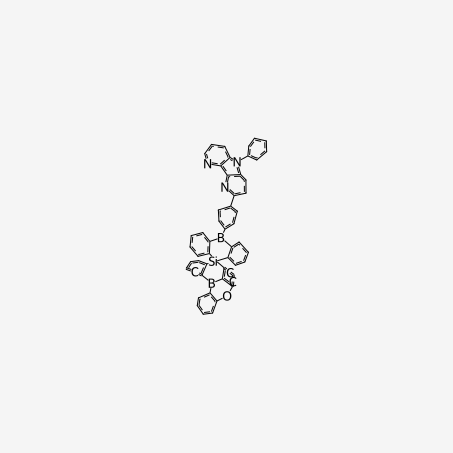 c1ccc(-n2c3cccnc3c3nc(-c4ccc(B5c6ccccc6[Si]6(c7ccccc75)c5ccccc5B5c7ccccc7Oc7cccc6c75)cc4)ccc32)cc1